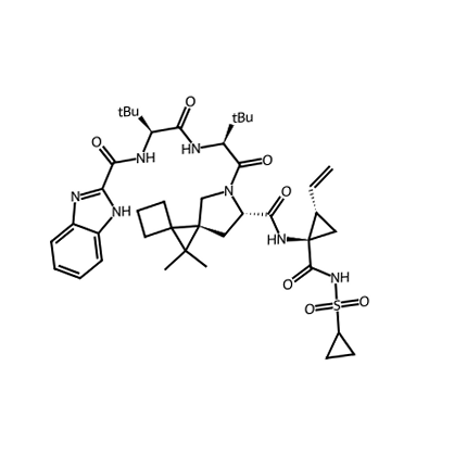 C=C[C@@H]1C[C@]1(NC(=O)[C@@H]1C[C@@]2(CN1C(=O)[C@@H](NC(=O)[C@@H](NC(=O)c1nc3ccccc3[nH]1)C(C)(C)C)C(C)(C)C)C(C)(C)C21CCC1)C(=O)NS(=O)(=O)C1CC1